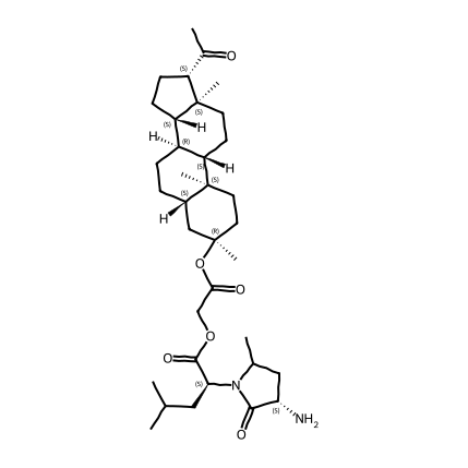 CC(=O)[C@H]1CC[C@H]2[C@@H]3CC[C@H]4C[C@](C)(OC(=O)COC(=O)[C@H](CC(C)C)N5C(=O)[C@@H](N)CC5C)CC[C@]4(C)[C@H]3CC[C@]12C